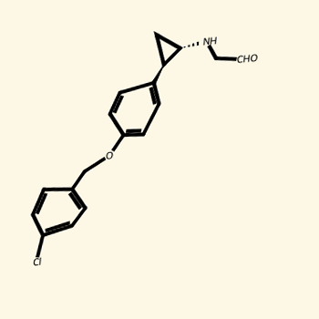 O=CCN[C@H]1C[C@@H]1c1ccc(OCc2ccc(Cl)cc2)cc1